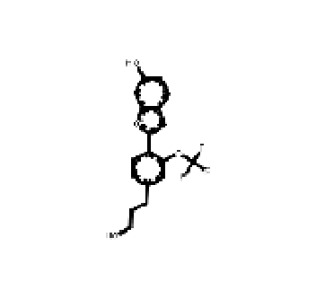 OCCCc1ccc(-c2cc3ccc(O)cc3o2)c(OC(F)(F)F)c1